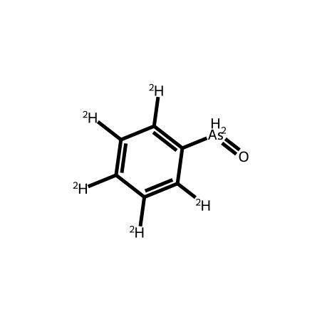 [2H]c1c([2H])c([2H])c([AsH2]=O)c([2H])c1[2H]